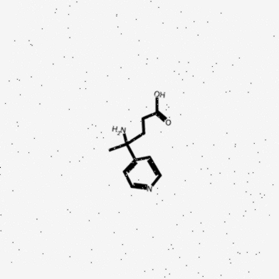 CC(N)(CCC(=O)O)c1ccncc1